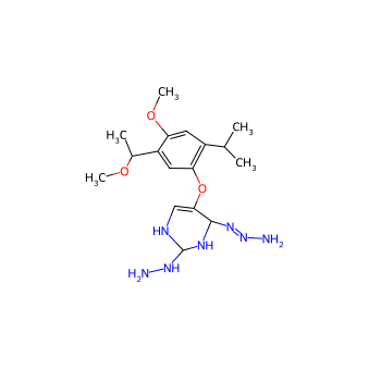 COc1cc(C(C)C)c(OC2=CNC(NN)NC2N=NN)cc1C(C)OC